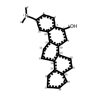 CN(C)c1ccc2c(O)cc3c(ccc4c5ccccc5ccc43)c2c1